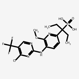 CCC(CC)(c1ccc(Nc2ncc(C(F)(F)F)c(Cl)n2)c(OC)n1)P(=O)(O)O